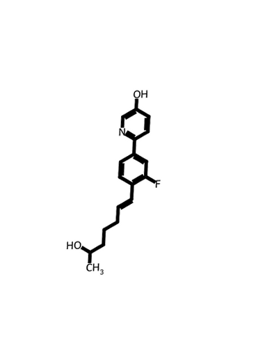 CC(O)CCCC=Cc1ccc(-c2ccc(O)cn2)cc1F